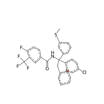 CSc1cccc(C(Cc2ccccc2)(NC(=O)c2ccc(F)c(C(F)(F)F)c2)c2ccc(Cl)cn2)c1